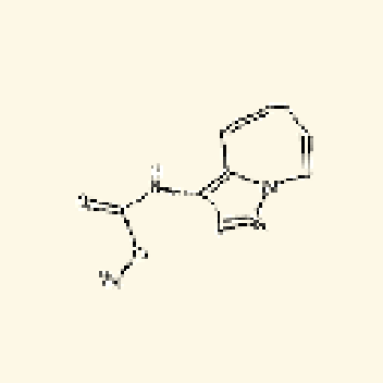 CC(C)(C)OC(=O)Nc1cnn2ccccc12